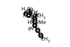 C=C(C)c1cnc(Nc2cc(C(C)C)c(N3CCC(N4CCN(C)CC4)CC3)cc2OC)nc1Nc1ccc2nccnc2c1N(C)S(C)(=O)=O